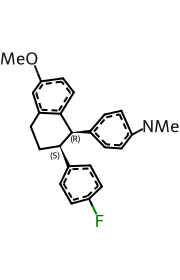 CNc1ccc([C@@H]2c3ccc(OC)cc3CC[C@@H]2c2ccc(F)cc2)cc1